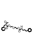 CC(=O)N(Cc1ccccn1)C(=O)OCCOCCOC(=O)NCCCc1ccccc1